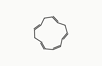 [C]1=C/C=C\C=C\C/C=C/C/C=C/C/1